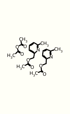 CC(=O)OC(C)=O.CC(=O)OCc1cccc(C)n1.CC(=O)OCc1cccc(C)n1